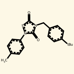 Cc1ccc(-n2sc(=O)n(Cc3ccc(C(C)(C)C)cc3)c2=O)cc1